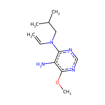 C=CN(CC(C)C)c1ncnc(OC)c1N